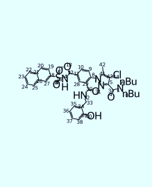 CCCCN(CCCC)C(=O)c1nn(-c2ccc(C(=O)NS(=O)(=O)c3ccc4ccccc4c3)cc2C(=O)NCc2ccccc2O)c(C)c1Cl